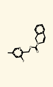 Cc1cnc(COC(=O)N2C=Cc3ccccc3C2)c(F)c1